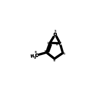 CC1=C2OP2CC1